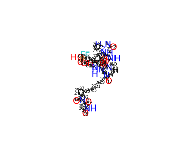 NC(=O)CC[C@H](NC(=O)[C@@H]1CC[C@@H]2CCN(C(=O)CCCCCCC#Cc3cccc4c3CN(C3CCC(=O)NC3=O)C4=O)C[C@H](NC(=O)c3cc4cc(C(F)(F)P(=O)(O)O)ccc4[nH]3)C(=O)N21)C(=O)NC(c1ccccc1)c1ccccc1